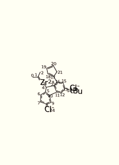 C[C](C)=[Zr+2][CH]1c2ccccc2-c2cc(C(C)(C)C)cc(C3=CC=CC3)c21.[Cl-].[Cl-]